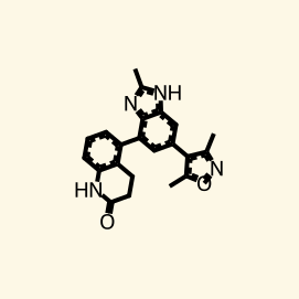 Cc1nc2c(-c3cccc4c3CCC(=O)N4)cc(-c3c(C)noc3C)cc2[nH]1